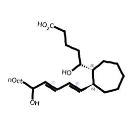 CCCCCCCCC(O)/C=C/C=C/[C@@H]1CCCCC[C@H]1C(O)CCCC(=O)O